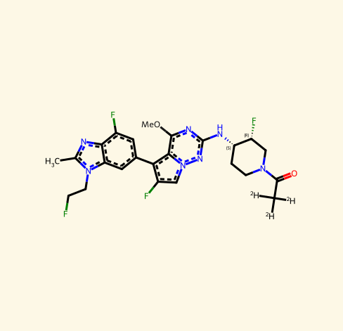 [2H]C([2H])([2H])C(=O)N1CC[C@H](Nc2nc(OC)c3c(-c4cc(F)c5nc(C)n(CCF)c5c4)c(F)cn3n2)[C@H](F)C1